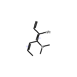 C=C/C(CCC)=C(\C=C/C)N(C)C